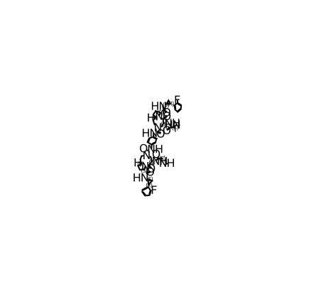 CN[C@@H](C)C(=O)N[C@H]1CN(C(=O)Nc2ccc(NC(=O)N3CC[C@H]4CC[C@@H](C(=O)N[C@H]5C[C@@H]5c5ccccc5F)N4C(=O)[C@@H](NC(=O)[C@H](C)NC)C3)cc2)CC[C@H]2CC[C@@H](C(=O)N[C@H]3C[C@@H]3c3ccccc3F)N2C1=O